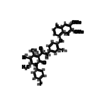 COc1cc2nccc(Oc3ccc(NC(=O)c4c(C)c(Br)c(C)n(-c5ccc(F)cc5)c4=O)cc3F)c2nc1OC